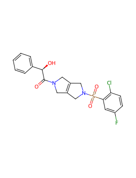 O=C([C@H](O)c1ccccc1)N1CC2=C(C1)CN(S(=O)(=O)c1cc(F)ccc1Cl)C2